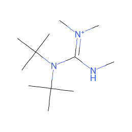 CNC(N(C(C)(C)C)C(C)(C)C)=[N+](C)C